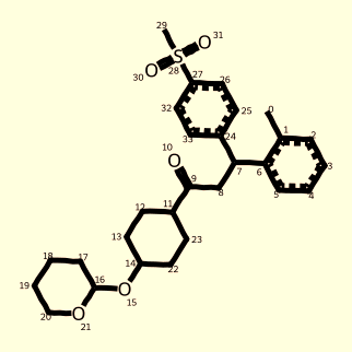 Cc1ccccc1C(CC(=O)C1CCC(OC2CCCCO2)CC1)c1ccc(S(C)(=O)=O)cc1